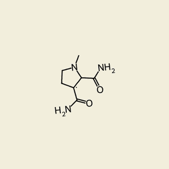 CN1CC[C](C(N)=O)C1C(N)=O